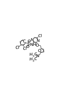 CN(C)Cc1ccc(COc2nc(Cl)cnc2NS(=O)(=O)c2cccc(Cl)c2Cl)o1